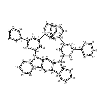 c1ccc(-c2nc(-c3ccccc3)nc(-n3c4ccccc4c4cc5c6ccccc6n(-c6nc(-c7ccccc7)nc(-c7ccccc7)n6)c5cc43)n2)cc1